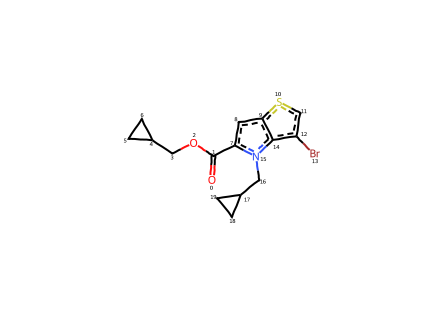 O=C(OCC1CC1)c1cc2scc(Br)c2n1CC1CC1